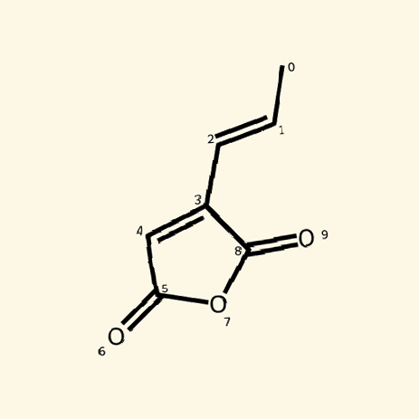 CC=CC1=CC(=O)OC1=O